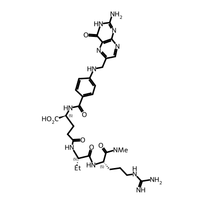 CC[C@H](NC(=O)CC[C@H](NC(=O)c1ccc(NCc2cnc3nc(N)[nH]c(=O)c3n2)cc1)C(=O)O)C(=O)N[C@@H](CCCNC(=N)N)C(=O)NC